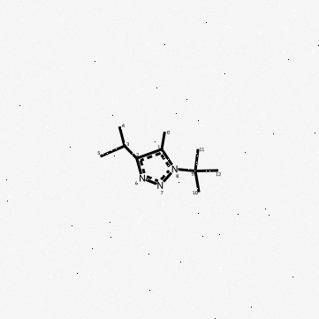 Cc1c(C(C)C)nnn1C(C)(C)C